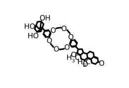 C[C@]12CCC(=O)C=C1CCC1C2C(=O)C[C@]2(C)C(=O)C(c3ccc4c(c3)OCCOCCOc3ccc(C56CC7(O)CC(O)(CC(O)(C7)C5)C6)cc3OCCOCCO4)CC12